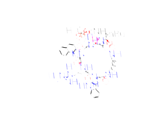 CCCC[C@H](NC(C)=O)C(=O)N[C@H]1CC(=O)NCCCCNC(=O)[C@H](Cc2c[nH]c3ccccc23)NC(=O)[C@H](CCCNC(=N)N)NC(=O)[C@@H](Cc2cccc3ccccc23)NC(=O)[C@H](CCS(C)(=O)=O)NC1=O